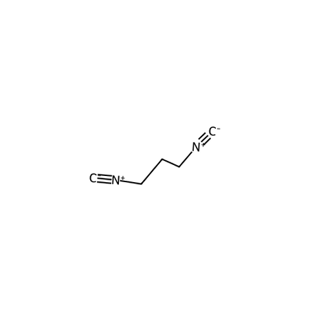 [C-]#[N+]CCC[N+]#[C-]